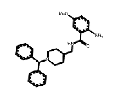 COc1ccc(N)c(C(=O)NCC2CCN(C(c3ccccc3)c3ccccc3)CC2)c1